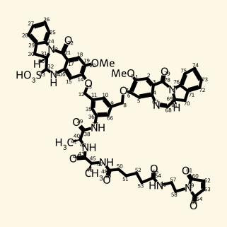 COc1cc2c(cc1OCc1cc(COc3cc4c(cc3OC)C(=O)N3c5ccccc5C[C@H]3C(S(=O)(=O)O)N4)cc(NC(=O)[C@H](C)NC(=O)[C@H](C)NC(=O)CCCCC(=O)NCCN3C(=O)C=CC3=O)c1)N=C[C@@H]1Cc3ccccc3N1C2=O